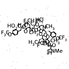 CN[C@@H](CC(C)C)C(=O)O[C@@H](C)C(=O)N(C)[C@@H](CC(C)(C)F)C(=O)O[C@@H](Cc1ccc(OC(F)(F)F)cc1)C(=O)N(C)[C@@H](CC(C)C)C(=O)O[C@@H](C)C(=O)N(C)[C@@H](CC(C)(C)F)C(=O)O[C@@H](Cc1ccc(OC(F)(F)F)cc1)C(=O)O.Cl